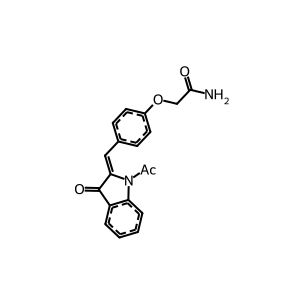 CC(=O)N1C(=Cc2ccc(OCC(N)=O)cc2)C(=O)c2ccccc21